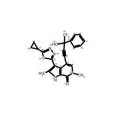 Cc1[nH]c2c(=O)n(C)cc(C#CC(O)(c3ccccc3)C(F)(F)F)c2c1-c1nnc(C2CC2)o1